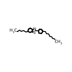 CCCCCCCCc1ccc(-c2nc3ccc(CCCCCC)cc3s2)cc1